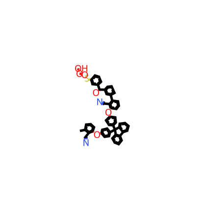 Cc1cccc(Oc2ccc(C3(c4ccc(Oc5cccc(-c6cccc(C(=O)c7cccc(SOOO)c7)c6)c5C#N)cc4)c4ccccc4-c4ccccc43)cc2)c1C#N